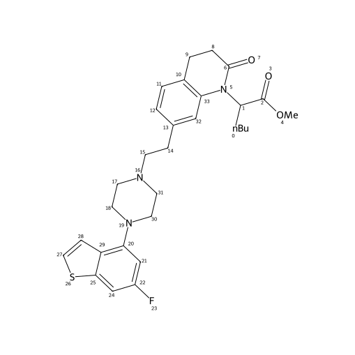 CCCCC(C(=O)OC)N1C(=O)CCc2ccc(CCN3CCN(c4cc(F)cc5sccc45)CC3)cc21